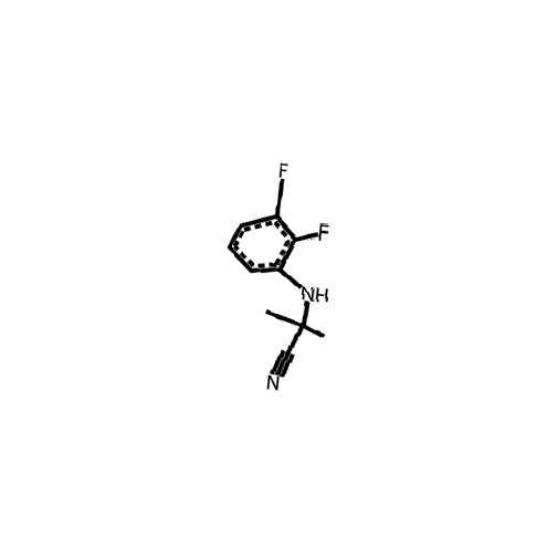 CC(C)(C#N)Nc1cccc(F)c1F